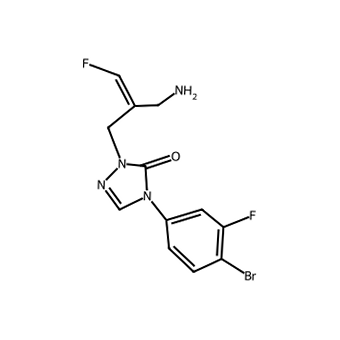 NC/C(=C/F)Cn1ncn(-c2ccc(Br)c(F)c2)c1=O